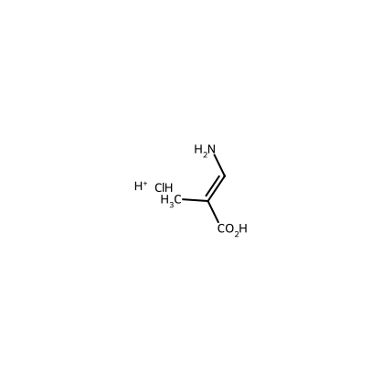 C/C(=C\N)C(=O)O.Cl.[H+]